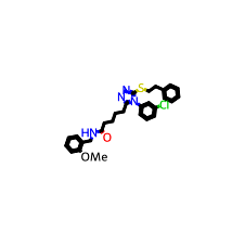 COc1ccccc1CNC(=O)CCCCc1nnc(SCCc2ccccc2)n1-c1cccc(Cl)c1